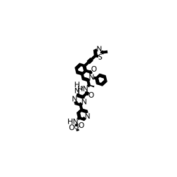 Cc1ncc(C#Cc2cccc3cc([C@@H](C)NC(=O)c4nc(-c5cncc(NS(C)(=O)=O)c5)cnc4N)n(-c4ccccc4)c(=O)c23)s1